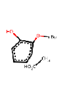 CC(=O)O.CCCCOc1ccccc1O